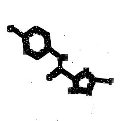 O=C(Nc1ccc(Cl)nc1)c1nc(F)n[nH]1